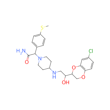 CSc1ccc(C(C(N)=O)N2CCC(NCC(O)C3COc4ccc(Cl)cc4O3)CC2)cc1